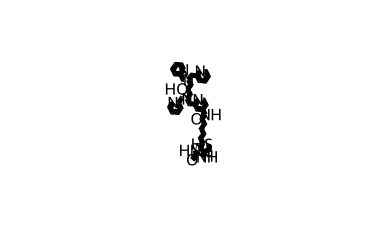 O=C(CCCCC1SC[C@@H]2NC(=O)N[C@H]12)Nc1ccnc(CN(Cc2ccccn2)CC(O)CN(Cc2ccccn2)Cc2ccccn2)c1